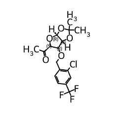 CC(=O)[C@H]1O[C@@H]2OC(C)(C)O[C@@H]2[C@H]1OCc1ccc(C(F)(F)F)cc1Cl